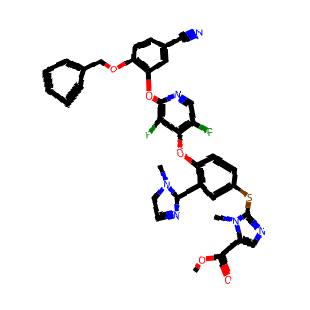 COC(=O)c1cnc(Sc2ccc(Oc3c(F)cnc(Oc4cc(C#N)ccc4OCc4ccccc4)c3F)c(C3N=CCN3C)c2)n1C